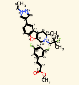 CCn1cc(-c2ccc3oc4c(c3c2)C[C@@H](C)N(CC(C)(C)F)[C@@H]4c2c(F)cc(/C=C/C(=O)OC)cc2F)cn1